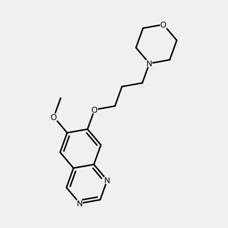 COc1cc2cncnc2cc1OCCCN1CCOCC1